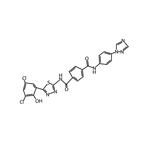 O=C(Nc1ccc(-n2cncn2)cc1)c1ccc(C(=O)Nc2nnc(-c3cc(Cl)cc(Cl)c3O)s2)cc1